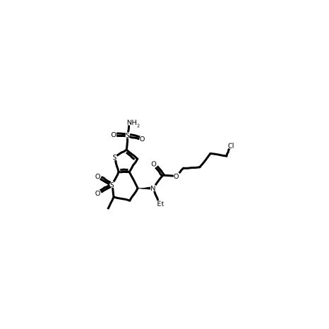 CCN(C(=O)OCCCCCl)[C@H]1CC(C)S(=O)(=O)c2sc(S(N)(=O)=O)cc21